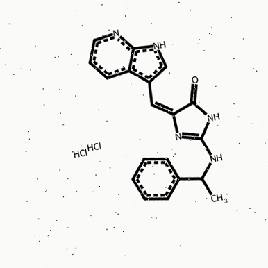 CC(NC1=NC(=Cc2c[nH]c3ncccc23)C(=O)N1)c1ccccc1.Cl.Cl